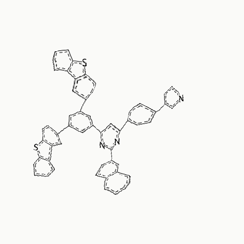 c1cncc(-c2ccc(-c3cc(-c4cc(-c5ccc6sc7ccccc7c6c5)cc(-c5ccc6sc7ccccc7c6c5)c4)nc(-c4ccc5ccccc5c4)n3)cc2)c1